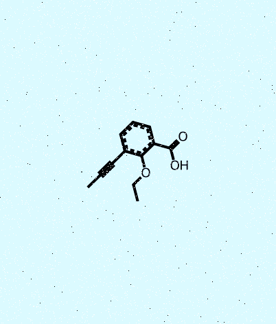 CC#Cc1cccc(C(=O)O)c1OCC